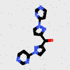 O=C(c1ccn(-c2ccncn2)n1)c1ccn(-c2ccncn2)n1